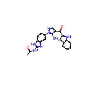 CC(=O)Nc1nc2cc(-n3ncc(C(=O)c4cc5ccccc5[nH]4)c3N)ccc2[nH]1